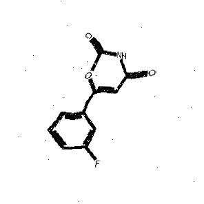 O=c1cc(-c2cccc(F)c2)oc(=O)[nH]1